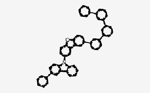 c1ccc(-c2cccc(-c3cccc(-c4cccc(-c5ccc6oc7ccc(-n8c9ccccc9c9cc(-c%10ccccc%10)ccc98)cc7c6c5)c4)c3)c2)cc1